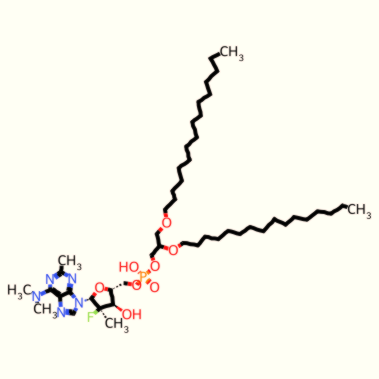 CCCCCCCCCCCCCCCCOCC(COP(=O)(O)OC[C@H]1O[C@@H](n2cnc3c(N(C)C)nc(C)nc32)[C@](C)(F)[C@@H]1O)OCCCCCCCCCCCCCCCC